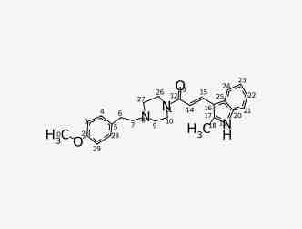 COc1ccc(CCN2CCN(C(=O)C=Cc3c(C)[nH]c4ccccc34)CC2)cc1